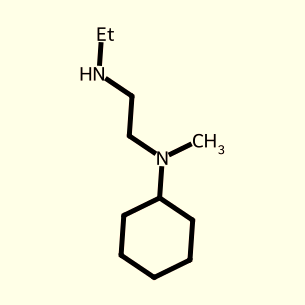 CCNCCN(C)C1CCCCC1